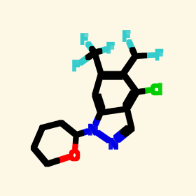 FC(F)c1c(C(F)(F)F)cc2c(cnn2C2CCCCO2)c1Cl